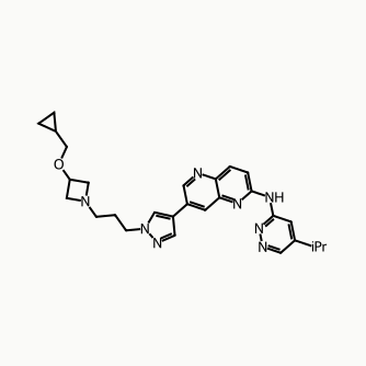 CC(C)c1cnnc(Nc2ccc3ncc(-c4cnn(CCCN5CC(OCC6CC6)C5)c4)cc3n2)c1